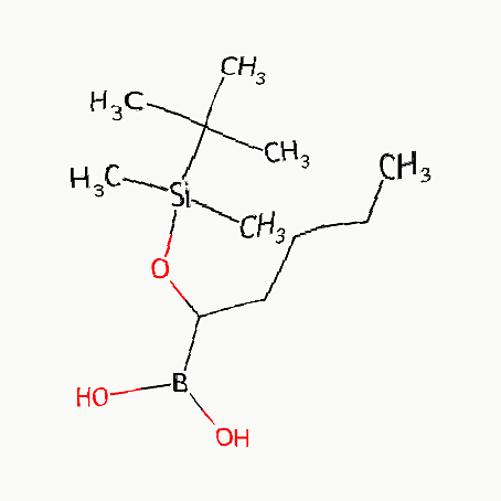 CCCCC(O[Si](C)(C)C(C)(C)C)B(O)O